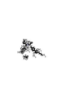 Cc1cn(CCCN)[n+](C)c1-c1ccc(OC[C@H](O/N=C(\C(=O)N[C@@H]2C(=O)N(OS(=O)(=O)O)C2(C)C)c2csc(N)n2)C(=O)O)cc1.O=C([O-])C(F)(F)F